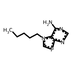 CCCCCn1cpc2ncnc(N)c21